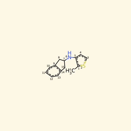 Cc1sccc1NC1Cc2ccccc2C1